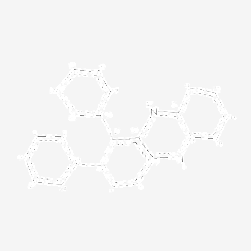 c1ccc(-c2ccc3nc4ccccc4nc3c2-c2ccccc2)cc1